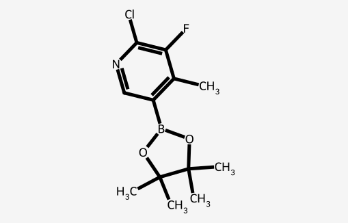 Cc1c(B2OC(C)(C)C(C)(C)O2)cnc(Cl)c1F